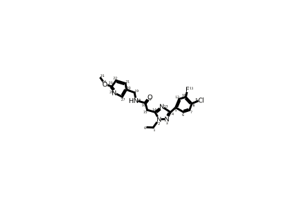 CCn1nc(-c2ccc(Cl)c(F)c2)nc1CC(=O)NCc1ccc(OC)nc1